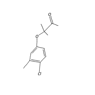 CC(=O)C(C)(C)Oc1ccc(Cl)c(C)c1